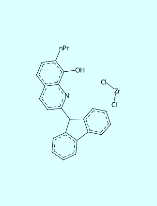 CCCc1ccc2ccc(C3c4ccccc4-c4ccccc43)nc2c1O.[Cl][Zr][Cl]